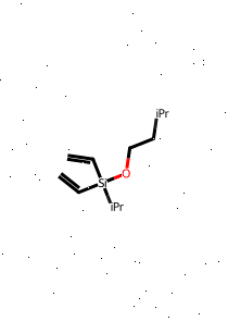 C=C[Si](C=C)(OCCC(C)C)C(C)C